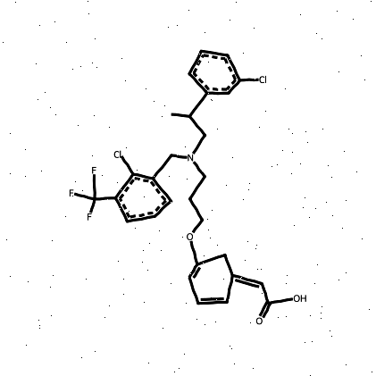 CC(CN(CCCOC1=CC=C/C(=C\C(=O)O)C1)Cc1cccc(C(F)(F)F)c1Cl)c1cccc(Cl)c1